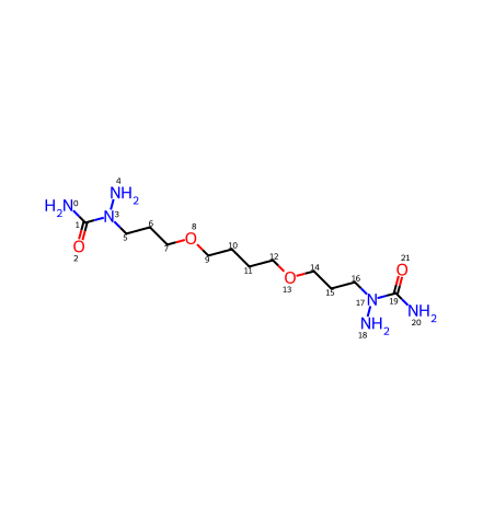 NC(=O)N(N)CCCOCCCCOCCCN(N)C(N)=O